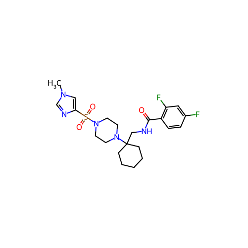 Cn1cnc(S(=O)(=O)N2CCN(C3(CNC(=O)c4ccc(F)cc4F)CCCCC3)CC2)c1